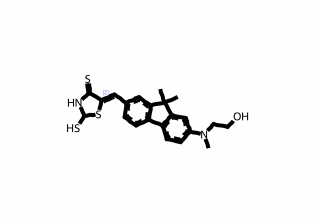 CN(CCO)c1ccc2c(c1)C(C)(C)c1cc(/C=C3\SC(S)NC3=S)ccc1-2